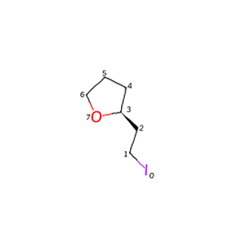 ICC[C@@H]1CCCO1